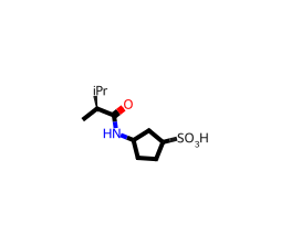 CC(C)[C@H](C)C(=O)NC1CCC(S(=O)(=O)O)C1